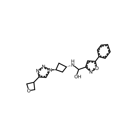 OC(N[C@H]1C[C@H](n2cc(C3COC3)nn2)C1)c1cc(-c2ccccc2)on1